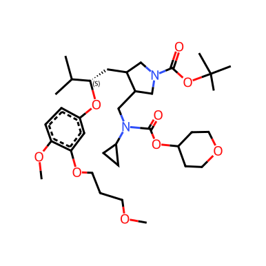 COCCCOc1cc(O[C@@H](CC2CN(C(=O)OC(C)(C)C)CC2CN(C(=O)OC2CCOCC2)C2CC2)C(C)C)ccc1OC